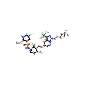 COc1ncc(F)cc1S(=O)(=O)Nc1ccc(F)c(COc2cnc3c(c2)c(C(C)(F)F)nn3COCC[Si](C)(C)C)c1F